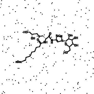 CCCCCCCCCCCCCCCCCC(=O)N[C@H](CSC[C@H](O)CO)C(=O)Nc1cn([C@H]2OC(CO)C(O)C(O)C2O)nn1